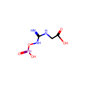 N=C(NCC(=O)O)NO[PH](=O)O